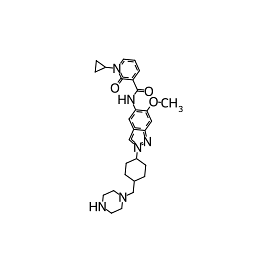 COc1cc2nn(C3CCC(CN4CCNCC4)CC3)cc2cc1NC(=O)c1cccn(C2CC2)c1=O